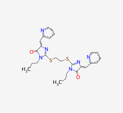 CCCN1C(=O)/C(=C/c2ccccn2)N=C1SCCSC1=N/C(=C\c2ccccn2)C(=O)N1CCC